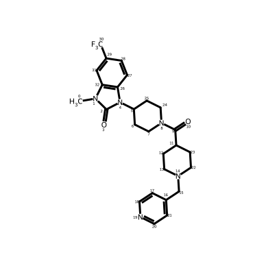 Cn1c(=O)n(C2CCN(C(=O)C3CCN(Cc4ccncc4)CC3)CC2)c2ccc(C(F)(F)F)cc21